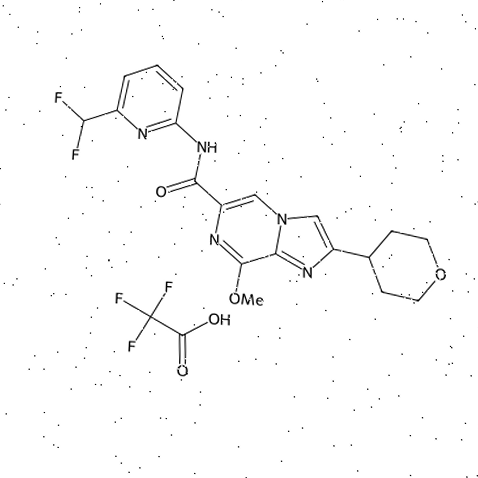 COc1nc(C(=O)Nc2cccc(C(F)F)n2)cn2cc(C3CCOCC3)nc12.O=C(O)C(F)(F)F